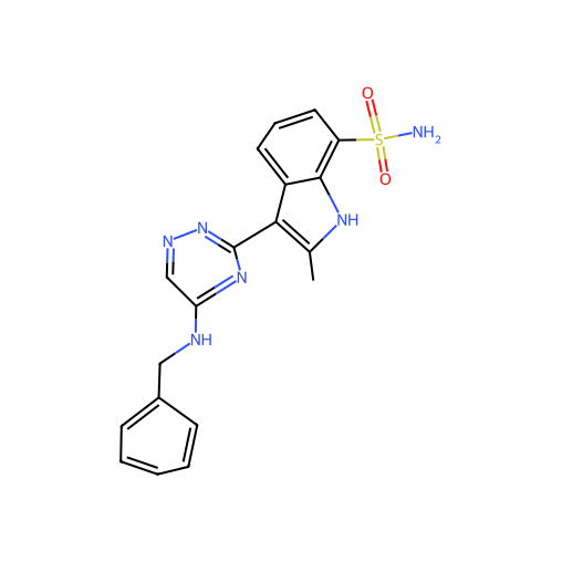 Cc1[nH]c2c(S(N)(=O)=O)cccc2c1-c1nncc(NCc2ccccc2)n1